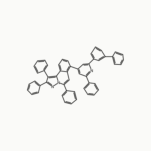 c1ccc(-c2cccc(-c3cc(-c4cccc5c4cc(-c4ccccc4)n4nc(-c6ccccc6)c(-c6ccccc6)c54)cc(-c4ccccc4)n3)c2)cc1